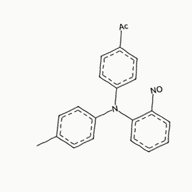 CC(=O)c1ccc(N(c2ccc(C)cc2)c2ccccc2N=O)cc1